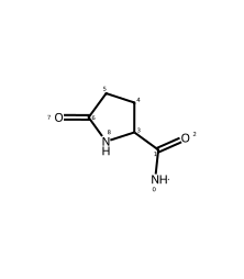 [NH]C(=O)C1CCC(=O)N1